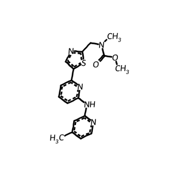 COC(=O)N(C)Cc1ncc(-c2cccc(Nc3cc(C)ccn3)n2)s1